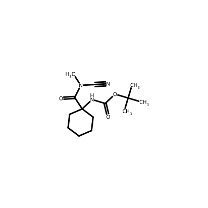 CN(C#N)C(=O)C1(NC(=O)OC(C)(C)C)CCCCC1